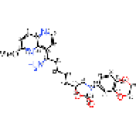 COc1ccc2nccc(C(N)CCCCC3CN(c4ccc5c(c4)OCCO5)C(=O)O3)c2n1